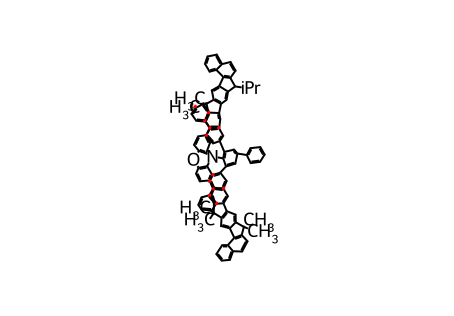 CC(C)C1c2cc3c(cc2-c2c1ccc1ccccc21)C(C)(C)c1cc(-c2ccc4c(c2)N(c2c(-c5ccc(-c6ccccc6)cc5)cc(-c5ccccc5)cc2-c2ccc(-c5ccccc5)cc2)c2cc(-c5ccc6c(c5)C(C)(C)c5cc7c(cc5-6)C(C)(C)c5ccc6ccccc6c5-7)ccc2O4)ccc1-3